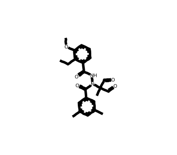 CCc1c(OC)cccc1C(=O)NN(C(=O)c1cc(C)cc(C)c1)C(C)(C=O)C=O